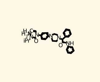 C=CN(C(=O)N(N)C(C)C)c1ccc(N2CCN(C(C(=O)Nc3ccccc3)c3ccccc3)CC2)cc1